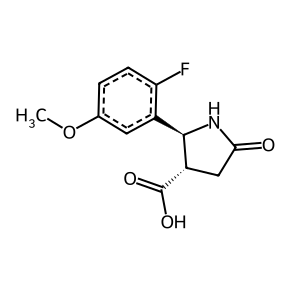 COc1ccc(F)c([C@H]2NC(=O)C[C@@H]2C(=O)O)c1